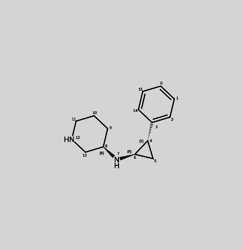 c1ccc([C@@H]2C[C@H]2N[C@@H]2CCCNC2)cc1